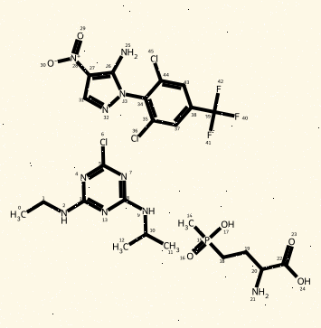 CCNc1nc(Cl)nc(NC(C)C)n1.CP(=O)(O)CCC(N)C(=O)O.Nc1c([N+](=O)[O-])cnn1-c1c(Cl)cc(C(F)(F)F)cc1Cl